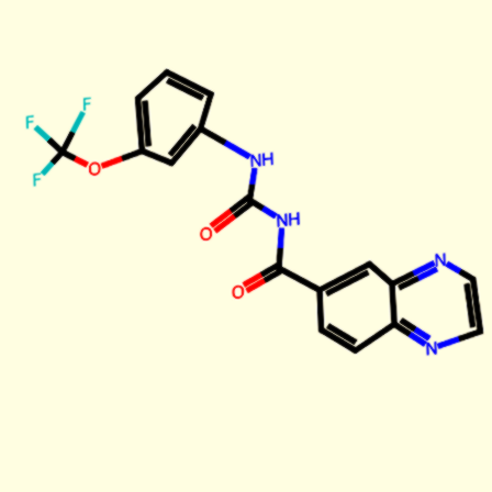 O=C(NC(=O)c1ccc2nccnc2c1)Nc1cccc(OC(F)(F)F)c1